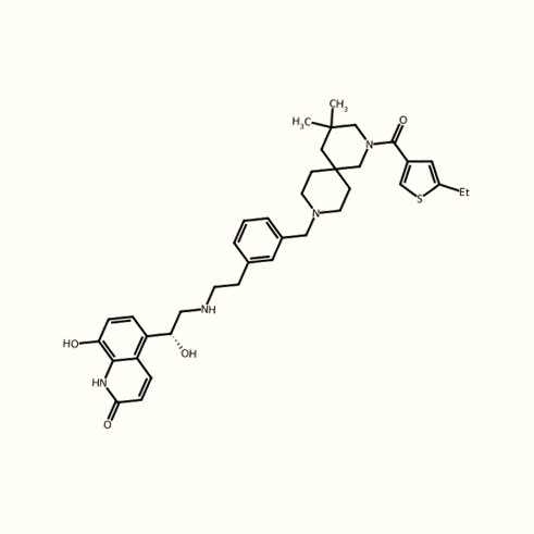 CCc1cc(C(=O)N2CC(C)(C)CC3(CCN(Cc4cccc(CCNC[C@H](O)c5ccc(O)c6[nH]c(=O)ccc56)c4)CC3)C2)cs1